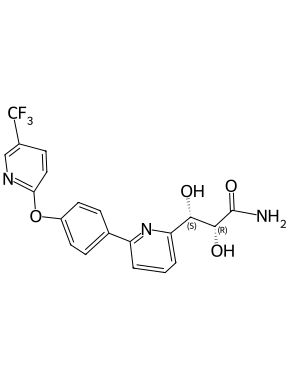 NC(=O)[C@H](O)[C@@H](O)c1cccc(-c2ccc(Oc3ccc(C(F)(F)F)cn3)cc2)n1